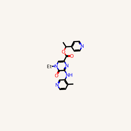 CCn1cc(C(=O)OC(C)c2ccncc2)nc(Nc2cnccc2C)c1=O